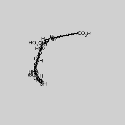 CC[C@H](C)[C@H](NC(=O)COCCOCCNC(=O)COCCOCCNC(=O)CCC(NC(=O)C1CCC(CNC(=O)CCCCCCCCCCCCCCCCCCC(=O)O)CC1)C(=O)O)C(=O)CN[C@@H](Cc1ccc(O)cc1)C(N)=O